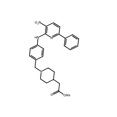 COC(=O)CC1CCN(Cc2ccc(Nc3nc(-c4ccccc4)ccc3[N+](=O)[O-])cc2)CC1